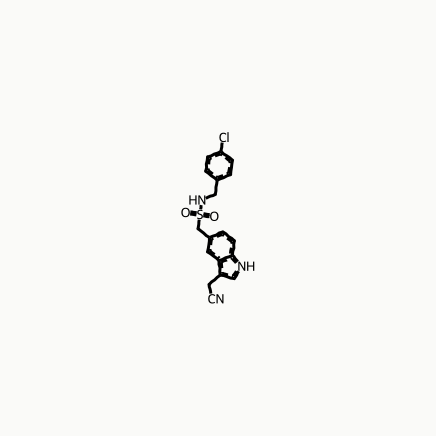 N#CCc1c[nH]c2ccc(CS(=O)(=O)NCc3ccc(Cl)cc3)cc12